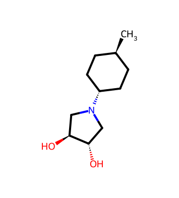 C[C@H]1CC[C@H](N2C[C@H](O)[C@@H](O)C2)CC1